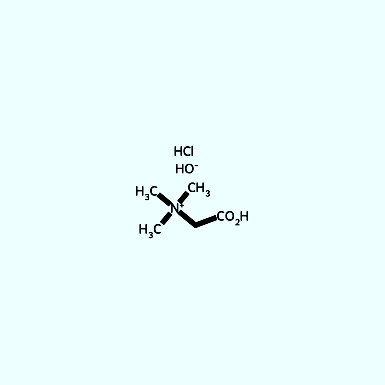 C[N+](C)(C)CC(=O)O.Cl.[OH-]